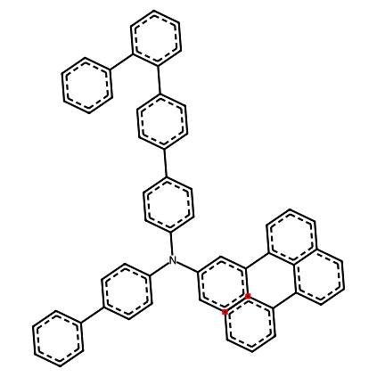 c1ccc(-c2ccc(N(c3ccc(-c4ccc(-c5ccccc5-c5ccccc5)cc4)cc3)c3cccc(-c4cccc5cccc(-c6ccccc6)c45)c3)cc2)cc1